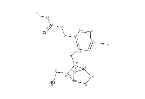 COC(=O)CCc1ccc(F)cc1CC1C2CCC(O2)C1CO